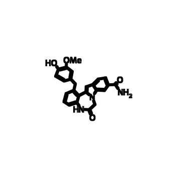 COc1cc(Cc2cccc3c2-c2cc4ccc(C(N)=O)cc4n2CC(=O)N3)ccc1O